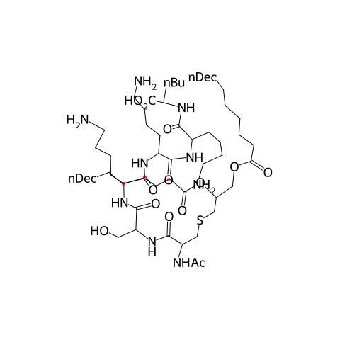 CCCCCCCCCCCCCCCC(=O)OCC(CSCC(NC(C)=O)C(=O)NC(CO)C(=O)NC(CCCCN)C(=O)NC(CCCCN)C(=O)NC(CCCCN)C(=O)NC(CCCC)C(=O)O)OC(=O)CCCCCCCCCCCCCCC